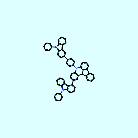 CC12c3ccccc3-c3cccc(c31)N(c1ccc(-c3ccc4c(c3)c3ccccc3n4-c3ccccc3)cc1)c1ccc(-c3cccc4c3c3ccccc3n4-c3ccccc3)cc12